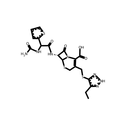 CCc1n[nH]nc1SCC1=C(C(=O)O)N2C(=O)[C@@H](NC(=O)C(NC(N)=O)c3cccs3)C2SC1